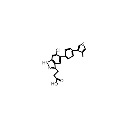 Cc1cscc1-c1ccc(-c2cc3c(CCC(=O)O)n[nH]c3cc2Cl)cc1